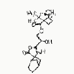 CC1CCC1(C(=O)OCC(O)CNC1(C(=O)O)CC2CCC1C2)C(C)(C)C